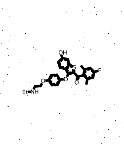 CCNCCOc1ccc(Oc2c(C(=O)c3c(C)cc(F)cc3C)sc3cc(O)ccc23)cc1